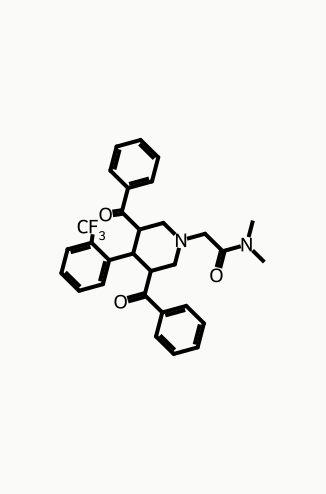 CN(C)C(=O)CN1CC(C(=O)c2ccccc2)C(c2ccccc2C(F)(F)F)C(C(=O)c2ccccc2)C1